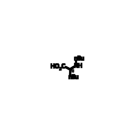 CCCCN[C@@H](CCCC)C(=O)O